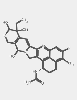 CC[C@]1(O)C2=C(COC1O)C(O)N1Cc3c(nc4cc(F)c(C)c5c4c3[C@@H](NC(N)=O)CC5)C1=C2